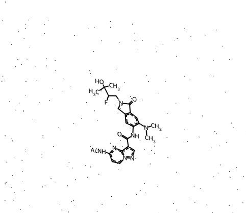 CC(=O)Nc1ccn2ncc(C(=O)Nc3cc4c(cc3N(C)C)C(=O)N(CC(F)C(C)(C)O)C4)c2n1